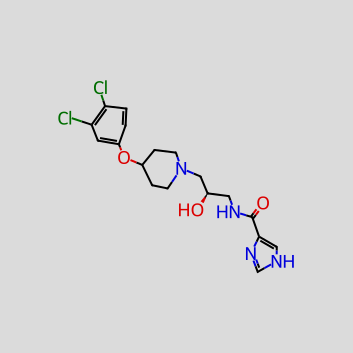 O=C(NC[C@@H](O)CN1CCC(Oc2ccc(Cl)c(Cl)c2)CC1)c1c[nH]cn1